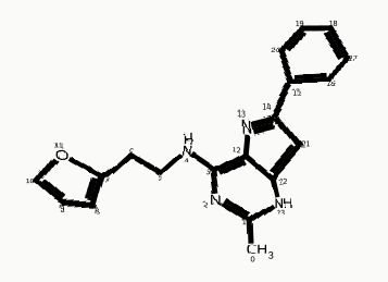 Cc1nc(NCCc2ccco2)c2nc(-c3ccccc3)cc-2[nH]1